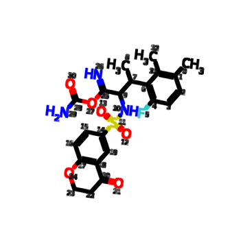 Cc1ccc(F)c(C(C)C(NS(=O)(=O)c2ccc3c(c2)C(=O)CCO3)C(=N)OC(N)=O)c1C